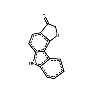 O=C1COc2c1ccc1[nH]c3ccccc3c21